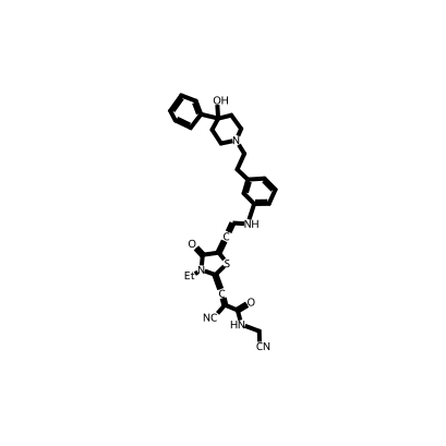 CCn1c(=C=C(C#N)C(=O)NCC#N)sc(=C=CNc2cccc(CCN3CCC(O)(c4ccccc4)CC3)c2)c1=O